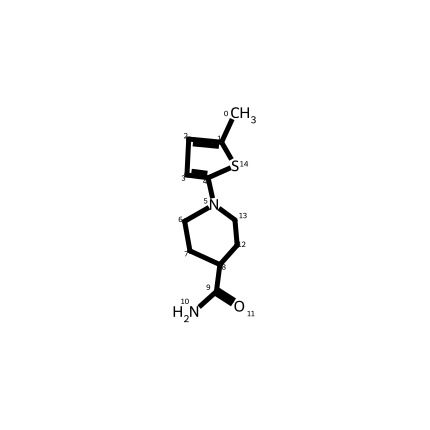 Cc1ccc(N2CCC(C(N)=O)CC2)s1